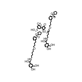 Cc1cccc(S(=O)(=O)O)c1.O=S(=O)(O)c1ccc(Cl)cc1.O=S(=O)(c1cccc(CCCCOCCCCCCNC[C@H](O)c2ccc(O)c(CO)c2)c1)C1CCCC1.O=S(=O)(c1cccc(CCCCOCCCCCCNC[C@H](O)c2ccc(O)c(CO)c2)c1)C1CCCC1